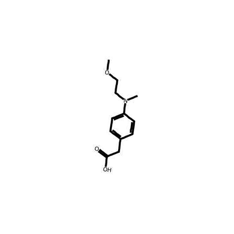 COCCN(C)c1ccc(CC(=O)O)cc1